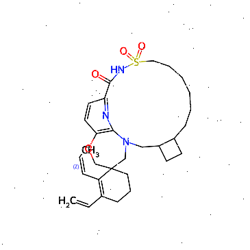 C=CC1=C(/C=C\C)C2(CCC1)COc1ccc3nc1N(CC1CCC1CCCCCCS(=O)(=O)NC3=O)C2